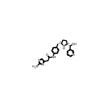 Nc1nc(CC(=O)Nc2ccc(C[C@@H]3CC[C@H](C(O)c4cccnc4)N3)cc2)cs1